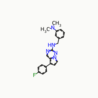 CN(C)c1cccc(CNc2ncc3c(-c4ccc(F)cc4)ccn3n2)c1